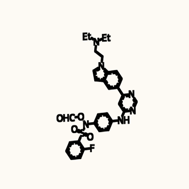 CCN(CC)CCn1ccc2cc(-c3cc(Nc4ccc(N(OC=O)S(=O)(=O)c5ccccc5F)cc4)ncn3)ccc21